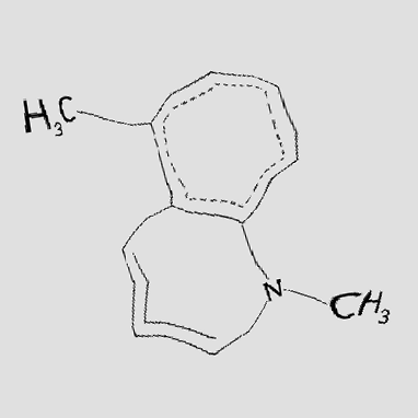 Cc1cccc2c1C=C=CN2C